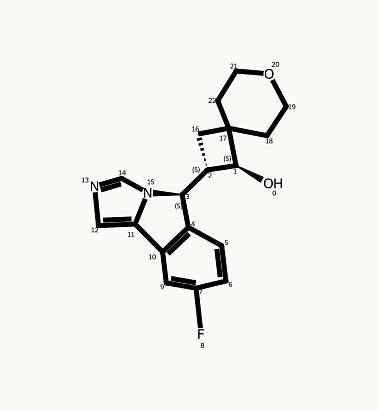 O[C@H]1[C@H]([C@H]2c3ccc(F)cc3-c3cncn32)CC12CCOCC2